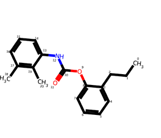 CCCc1ccccc1OC(=O)Nc1cccc(C)c1C